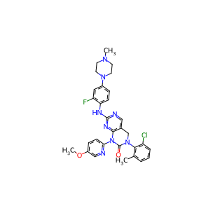 COc1ccc(N2C(=O)N(c3c(C)cccc3Cl)Cc3cnc(Nc4ccc(N5CCN(C)CC5)cc4F)nc32)nc1